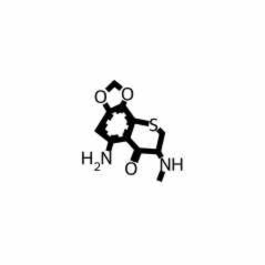 CNC1CSc2c3c(cc(N)c2C1=O)OCO3